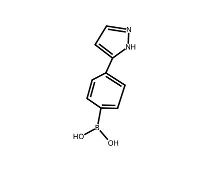 OB(O)c1ccc(-c2ccn[nH]2)cc1